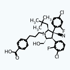 CC(C)(C)C[C@@H]1N(CCCc2ccc(C(=O)O)cc2)[C@@H](CO)[C@H](c2cccc(Cl)c2F)[C@@]1(C#N)c1ccc(Cl)cc1F